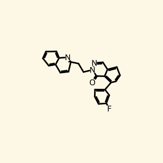 O=c1c2c(-c3cccc(F)c3)cccc2cnn1CCc1ccc2ccccc2n1